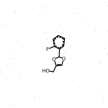 OCC1=COC(c2ccccc2F)O1